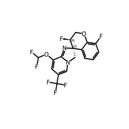 Fc1cccc2c1OC[C@H](F)[C@@]21CN2C=C(C(F)(F)F)C=C(OC(F)F)C2=N1